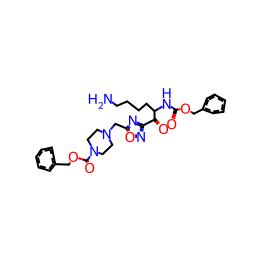 NCCCCC(NC(=O)OCc1ccccc1)C(=O)c1noc(CN2CCN(C(=O)OCc3ccccc3)CC2)n1